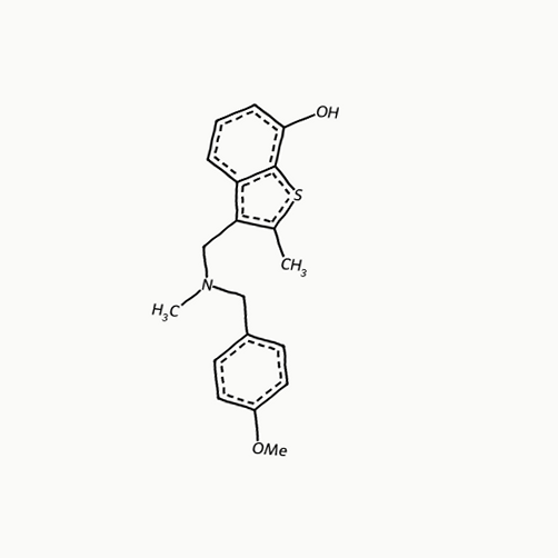 COc1ccc(CN(C)Cc2c(C)sc3c(O)cccc23)cc1